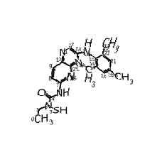 CCN(S)C(=O)Nc1ccc2ncc(Nc3c(C)cc(C)cc3C)nc2n1